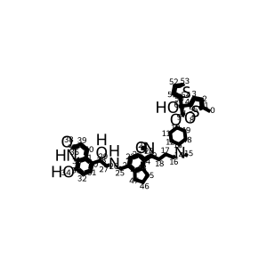 Cc1ccc(C(O)(C(=O)O[C@H]2CC[C@H](N(C)CCCc3noc4cc(CNC[C@H](O)c5ccc(O)c6[nH]c(=O)ccc56)c5c(c34)CCC5)CC2)c2cccs2)s1